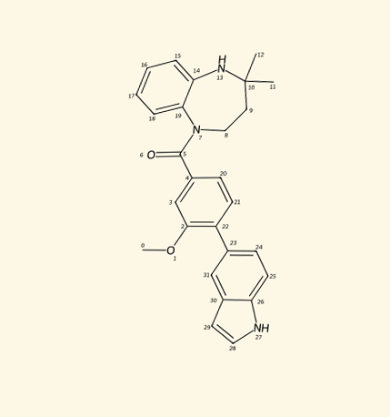 COc1cc(C(=O)N2CCC(C)(C)Nc3ccccc32)ccc1-c1ccc2[nH]ccc2c1